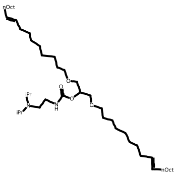 CCCCCCCCC=CCCCCCCCCOCC(COCCCCCCCCC=CCCCCCCCC)OC(=O)NCCN(C(C)C)C(C)C